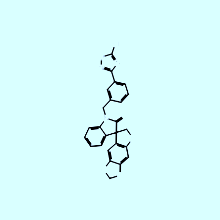 O=C1N(Cc2cccc(-c3noc(C(F)(F)F)n3)c2)c2ccccc2C12COc1cc3c(cc12)OCO3